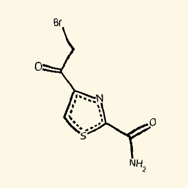 NC(=O)c1nc(C(=O)CBr)cs1